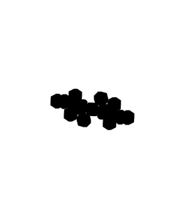 c1ccc(-c2c(-c3ccc4ccccc4c3)c3ccccc3c3c(-c4ccccc4)c(-c4ccc(-c5oc6c(-c7ccccc7)c(-c7ccc8ccccc8c7)c7ccccc7c6c5-c5ccccc5)cc4)oc23)cc1